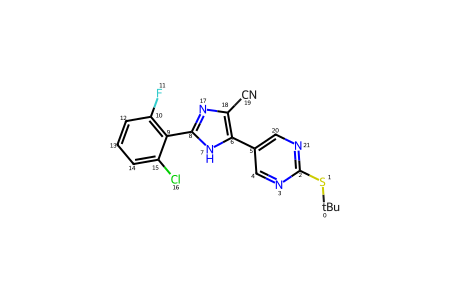 CC(C)(C)Sc1ncc(-c2[nH]c(-c3c(F)cccc3Cl)nc2C#N)cn1